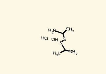 CC(N)SSC(C)N.Cl.Cl